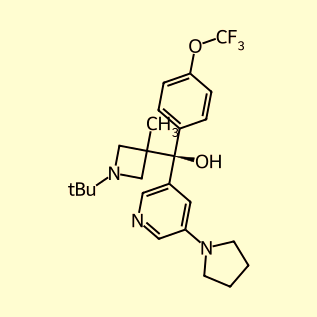 CC(C)(C)N1CC(C)([C@](O)(c2ccc(OC(F)(F)F)cc2)c2cncc(N3CCCC3)c2)C1